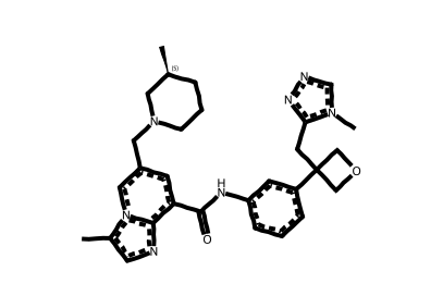 Cc1cnc2c(C(=O)Nc3cccc(C4(Cc5nncn5C)COC4)c3)cc(CN3CCC[C@H](C)C3)cn12